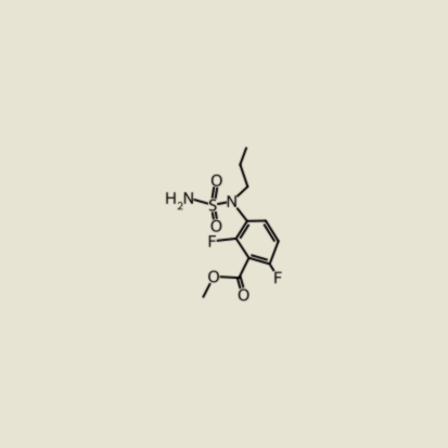 CCCN(c1ccc(F)c(C(=O)OC)c1F)S(N)(=O)=O